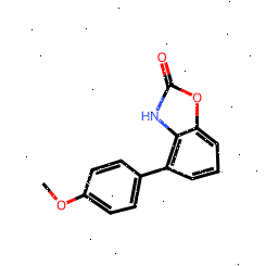 COc1ccc(-c2c[c]cc3oc(=O)[nH]c23)cc1